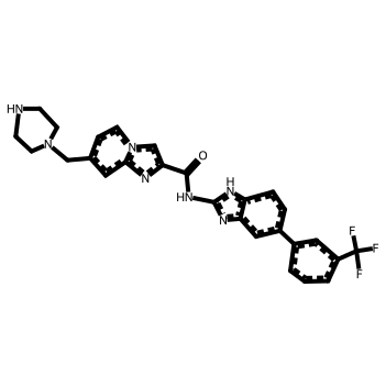 O=C(Nc1nc2cc(-c3cccc(C(F)(F)F)c3)ccc2[nH]1)c1cn2ccc(CN3CCNCC3)cc2n1